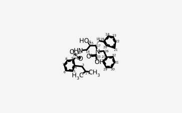 CC(C)Cc1ccccc1S(=O)(=O)NC[C@@H](O)[C@H](Cc1ccccc1)N(Cc1ccccc1)C(=O)O